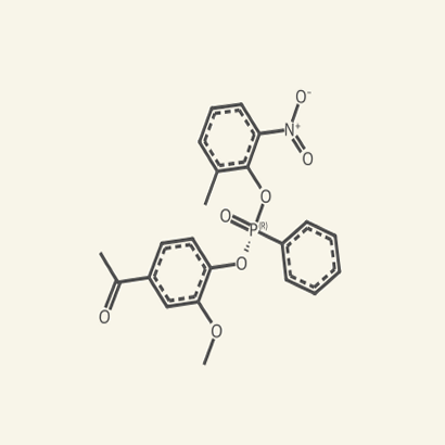 COc1cc(C(C)=O)ccc1O[P@](=O)(Oc1c(C)cccc1[N+](=O)[O-])c1ccccc1